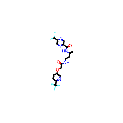 C=C(CCNC(=O)COc1ccc(C(F)(F)F)nc1)NC(=O)c1cnc(C(F)F)cn1